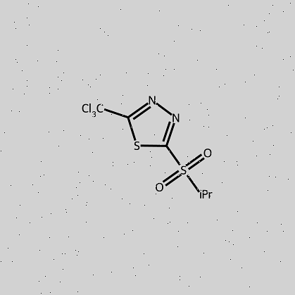 CC(C)S(=O)(=O)c1nnc(C(Cl)(Cl)Cl)s1